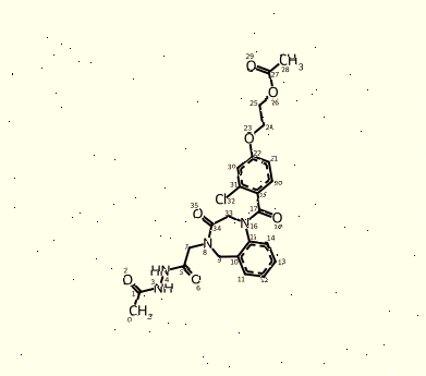 CC(=O)NNC(=O)CN1Cc2ccccc2N(C(=O)c2ccc(OCCOC(C)=O)cc2Cl)CC1=O